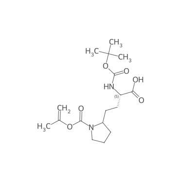 C=C(C)OC(=O)N1CCCC1CC[C@H](NC(=O)OC(C)(C)C)C(=O)O